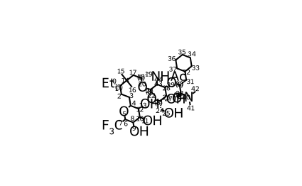 CC[C@@H](CCC1OC(C(F)(F)F)C(O)C(O)C1O)C(C)(C)C[C@H](C)O[C@@H]1O[C@@H](CO)C(O)C(O[C@@H](CC2CCCCC2)C(=O)N(C)C)C1NC(C)=O